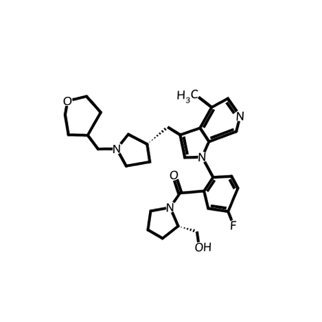 Cc1cncc2c1c(C[C@@H]1CCN(CC3CCOCC3)C1)cn2-c1ccc(F)cc1C(=O)N1CCC[C@H]1CO